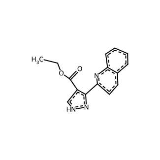 CCOC(=O)c1c[nH]nc1-c1ccc2ccccc2n1